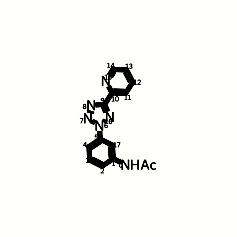 CC(=O)Nc1cccc(-n2nnc(-c3ccccn3)n2)c1